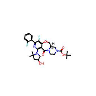 CC(C)(C)OC(=O)N1CCN2C(=O)c3c(N4CC(O)CC4(C)C)nc(-c4ccccc4F)c(F)c3OC[C@H]2C1